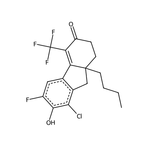 CCCCC12CCC(=O)C(C(F)(F)F)=C1c1cc(F)c(O)c(Cl)c1C2